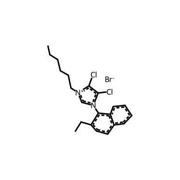 CCCCCC[n+]1cn(-c2c(CC)ccc3ccccc23)c(Cl)c1Cl.[Br-]